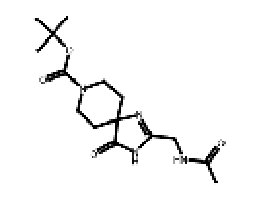 CC(=O)NCC1=NC2(CCN(C(=O)OC(C)(C)C)CC2)C(=O)N1